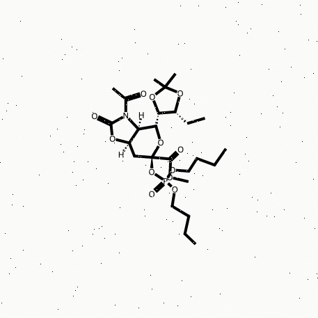 CCCCOP(=O)(OCCCC)O[C@@]1(C(=O)OC)C[C@H]2OC(=O)N(C(C)=O)[C@H]2C([C@@H]2OC(C)(C)O[C@@H]2CC)O1